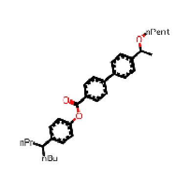 CCCCCOC(C)c1ccc(-c2ccc(C(=O)Oc3ccc(C(CCC)CCCC)cc3)cc2)cc1